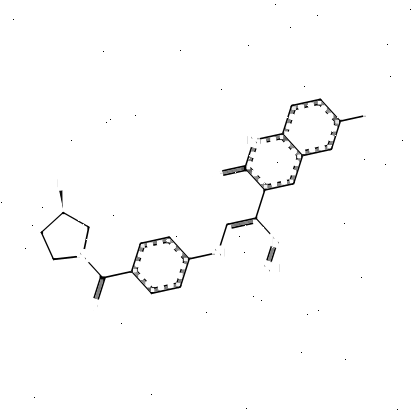 N=N/C(=C\Nc1ccc(C(=O)N2CC[C@@H](F)C2)cc1)c1cc2cc(Cl)ccc2[nH]c1=O